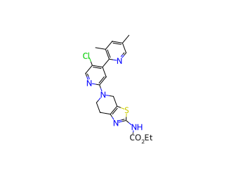 CCOC(=O)Nc1nc2c(s1)CN(c1cc(-c3ncc(C)cc3C)c(Cl)cn1)CC2